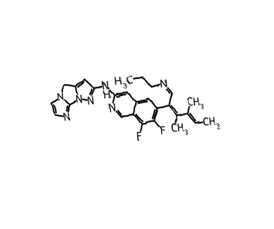 C/C=C(C)/C(C)=C(\C=N/CCC)c1cc2cc(Nc3cc4n(n3)-c3nccn3C4)ncc2c(F)c1F